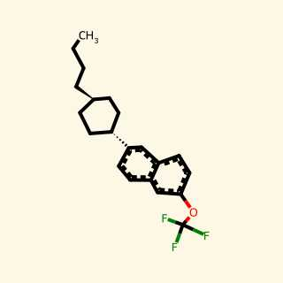 CCCC[C@H]1CC[C@H](c2ccc3cc(OC(F)(F)F)ccc3c2)CC1